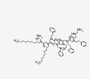 CCCCCCCCCCN(CC(N)=O)C(=O)CN(CCCCCCCCCC)C(=O)CN(CCc1ccccc1)C(=O)CN(CCc1ccccc1)C(=O)CN(CCN)C(=O)CN(CCc1ccccc1)C(=O)CN(CCc1ccccc1)C(=O)CNCCN